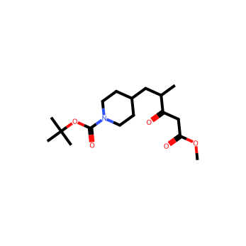 COC(=O)CC(=O)C(C)CC1CCN(C(=O)OC(C)(C)C)CC1